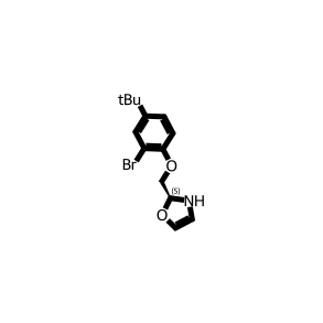 CC(C)(C)c1ccc(OC[C@H]2NC=CO2)c(Br)c1